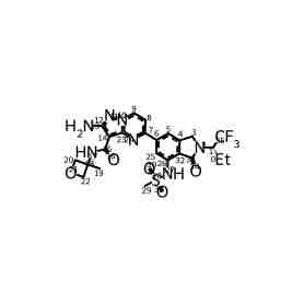 CC[C@H](N1Cc2cc(-c3ccn4nc(N)c(C(=O)NC5(C)COC5)c4n3)cc(NS(C)(=O)=O)c2C1=O)C(F)(F)F